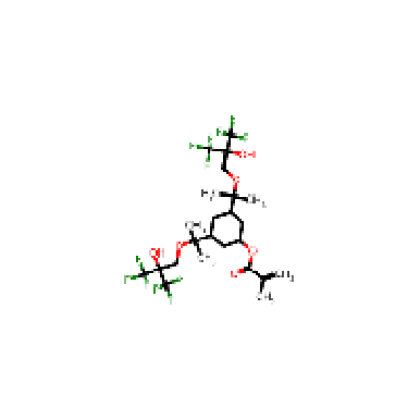 C=C(C)C(=O)OC1CC(C(C)(C)OCC(O)(C(F)(F)F)C(F)(F)F)CC(C(C)(C)OCC(O)(C(F)(F)F)C(F)(F)F)C1